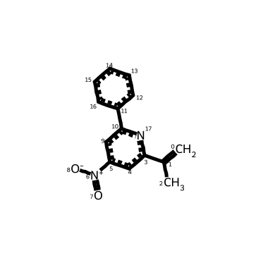 C=C(C)c1cc([N+](=O)[O-])cc(-c2ccccc2)n1